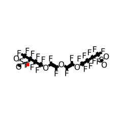 O=S(=O)(F)C(F)(F)C(F)(F)C(F)(F)C(F)(F)OC(F)=C(F)OC(F)=C(F)OC(F)(F)C(F)(F)C(F)(F)C(F)(F)S(=O)(=O)F